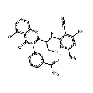 CCC(Nc1nc(N)nc(N)c1C#N)c1nc2cccc(Cl)c2c(=O)n1-c1cccc(C(N)=O)c1